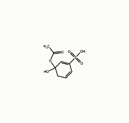 CC(=O)OC1(O)C=C(S(=O)(=O)O)C=CC1